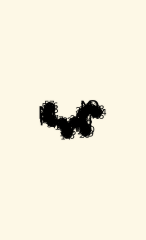 Cn1c2ccc(-c3ccc4c(c3)c3ccccc3n4-c3ccc4c(c3)n3c5ccccc5nc3n4-c3ccc4nc5oc6ccccc6n5c4c3)cc2n2c3ccccc3nc12